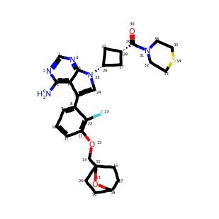 Nc1ncnc2c1c(-c1cccc(OCC34CCC(CC3)O4)c1F)cn2[C@H]1C[C@@H](C(=O)N2CCSCC2)C1